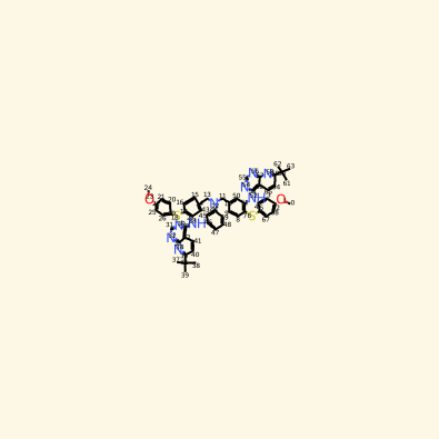 COc1ccc(Sc2ccc(CN(Cc3ccc(Sc4ccc(OC)cc4)c(Nc4ncnc5nc(C(C)(C)C)ccc45)c3)c3ccccc3)cc2Nc2ncnc3nc(C(C)(C)C)ccc23)cc1